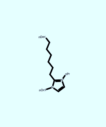 CCCCCCCCCCCCCCCCc1n(CCCCCCCC)cc[n+]1CCC